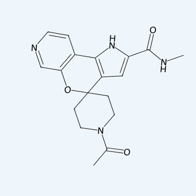 CNC(=O)c1cc2c([nH]1)-c1ccncc1OC21CCN(C(C)=O)CC1